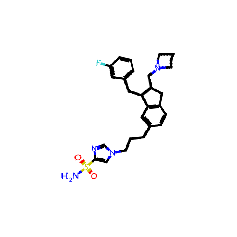 NS(=O)(=O)c1cn(CCCc2ccc3c(c2)C(Cc2cccc(F)c2)C(CN2CCC2)C3)cn1